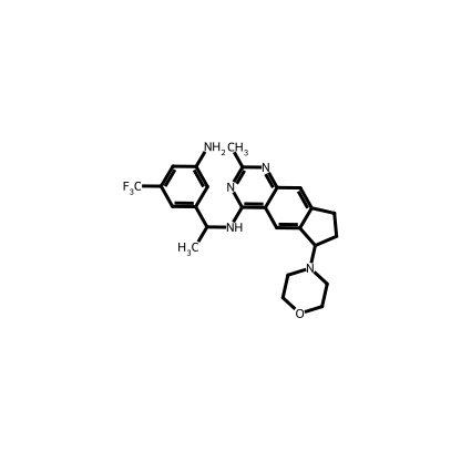 Cc1nc(NC(C)c2cc(N)cc(C(F)(F)F)c2)c2cc3c(cc2n1)CCC3N1CCOCC1